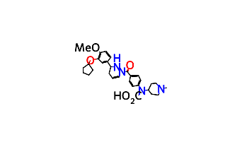 COc1ccc(C2CC=CN(C(=O)c3ccc(N(C(=O)O)C4CCN(C)CC4)cc3)N2)cc1OC1CCCC1